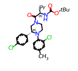 Cc1ccc(N2CCN(C(=O)[C@H](NC(=O)OC(C)(C)C)C(C)C)C[C@H]2c2ccc(Cl)cc2)c(Cl)c1